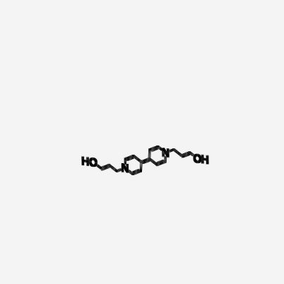 OC=CCN1C=CC(=C2C=CN(CC=CO)C=C2)C=C1